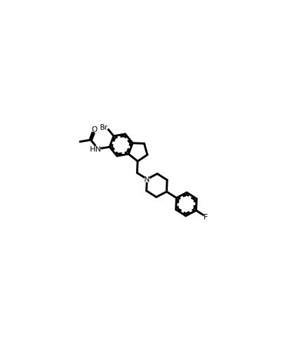 CC(=O)Nc1cc2c(cc1Br)CCC2CN1CCC(c2ccc(F)cc2)CC1